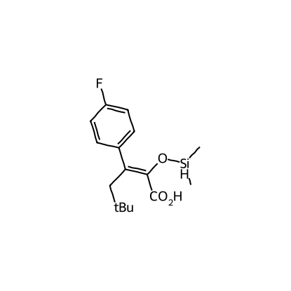 C[SiH](C)OC(C(=O)O)=C(CC(C)(C)C)c1ccc(F)cc1